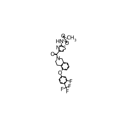 CS(=O)(=O)Nc1nc(C(=O)N2CCc3c(cccc3Oc3ccc(C(F)(F)F)c(F)c3)C2)cs1